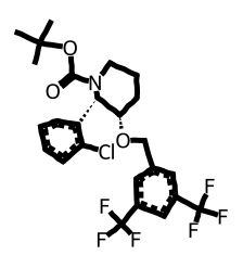 CC(C)(C)OC(=O)N1CCC[C@H](OCc2cc(C(F)(F)F)cc(C(F)(F)F)c2)[C@@H]1c1ccccc1Cl